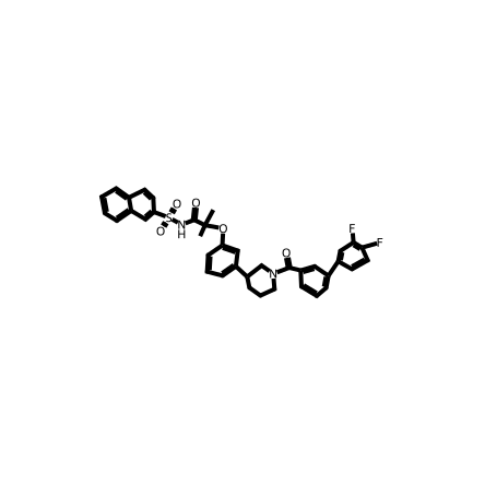 CC(C)(Oc1cccc(C2CCCN(C(=O)c3cccc(-c4ccc(F)c(F)c4)c3)C2)c1)C(=O)NS(=O)(=O)c1ccc2ccccc2c1